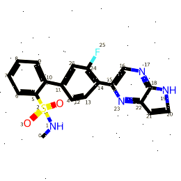 CNS(=O)(=O)c1ccccc1-c1ccc(-c2cnc3[nH]ccc3n2)c(F)c1